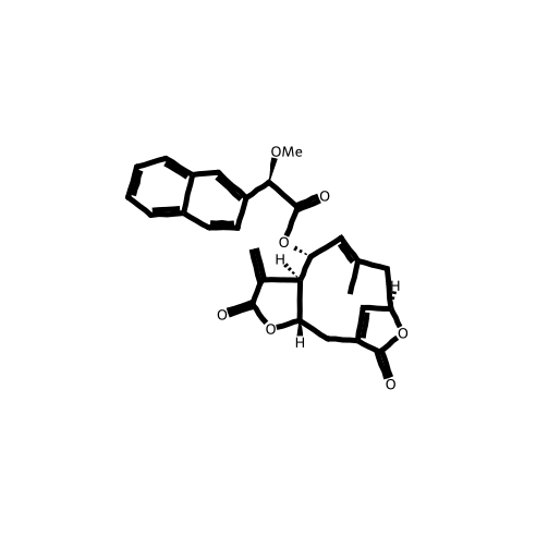 C=C1C(=O)O[C@H]2CC3=C[C@@H](C/C(C)=C/[C@@H](OC(=O)[C@H](OC)c4ccc5ccccc5c4)[C@H]12)OC3=O